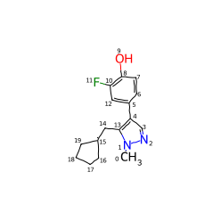 Cn1ncc(-c2ccc(O)c(F)c2)c1C[C]1CCCC1